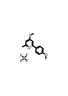 COc1ccc(-c2cc(SC)cc(C)[o+]2)cc1.F[B-](F)(F)F